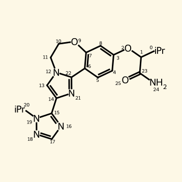 CC(C)C(Oc1ccc2c(c1)OCCn1cc(-c3ncnn3C(C)C)nc1-2)C(N)=O